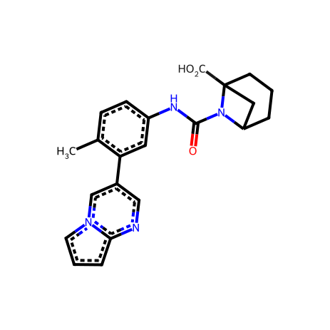 Cc1ccc(NC(=O)N2C3CCCC2(C(=O)O)C3)cc1-c1cnc2cccn2c1